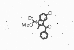 CCC(OC)n1c(C)c(C(=O)c2ccccc2)c2cc(Cl)ccc21